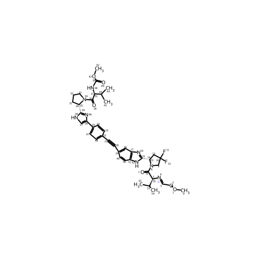 COO/C=N/[C@H](C(=O)N1CC(F)(F)C[C@H]1c1nc2cc(C#Cc3ccc(-c4c[nH]c([C@@H]5CCCN5C(=O)[C@@H](NC(=O)OC)C(C)C)n4)cc3)ccc2[nH]1)C(C)C